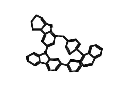 C1=c2sc3c(Cc4ccc(-c5cccc6ccccc56)cc4)cc(-n4c5ccccc5c5ccc(-c6ccccc6)cc54)cc3c2=CCC1